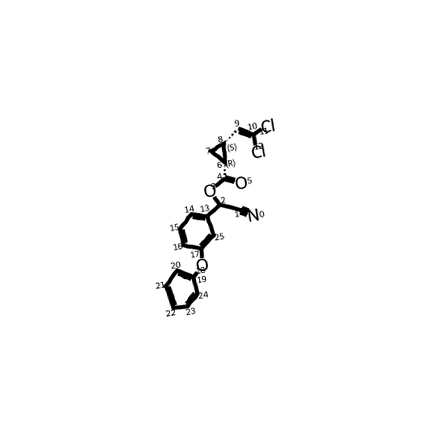 N#CC(OC(=O)[C@@H]1C[C@@H]1C=C(Cl)Cl)c1cccc(Oc2ccccc2)c1